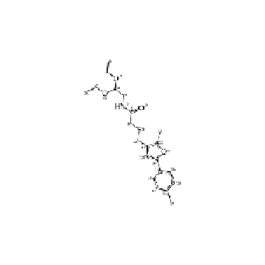 CCOC(CNC(=O)CSCc1nc(-c2ccc(C)cc2)oc1C)OCC